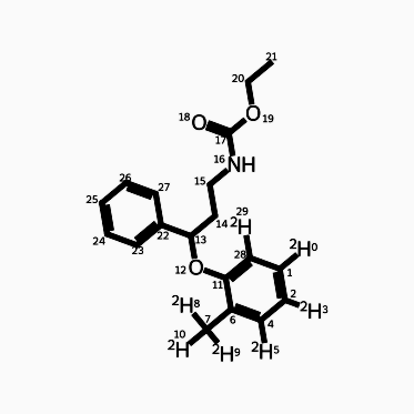 [2H]c1c([2H])c([2H])c(C([2H])([2H])[2H])c(OC(CCNC(=O)OCC)c2ccccc2)c1[2H]